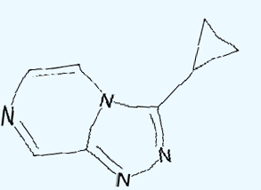 c1cn2c(C3CC3)nnc2cn1